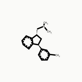 Cc1cccc([C@@H]2C[C@@H](CN(C)C)c3ccccc32)c1